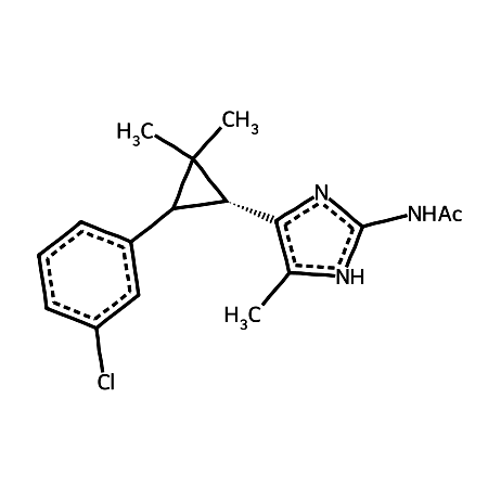 CC(=O)Nc1nc([C@@H]2C(c3cccc(Cl)c3)C2(C)C)c(C)[nH]1